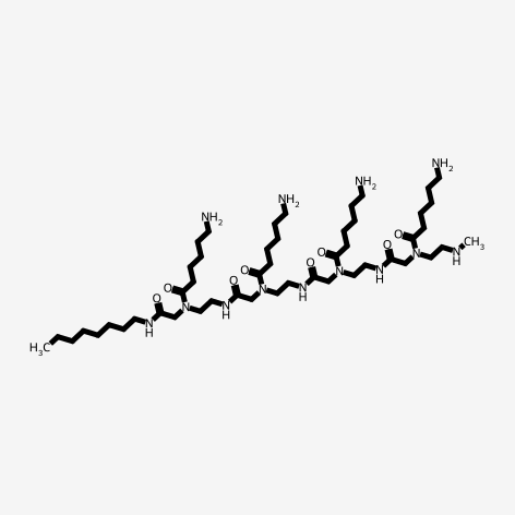 CCCCCCCCNC(=O)CN(CCNC(=O)CN(CCNC(=O)CN(CCNC(=O)CN(CCNC)C(=O)CCCCCN)C(=O)CCCCCN)C(=O)CCCCCN)C(=O)CCCCCN